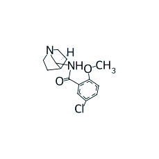 COc1ccc(Cl)cc1C(=O)N[C@@H]1CN2CCC1CC2